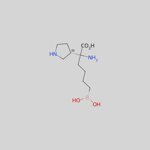 NC(CCCCB(O)O)(C(=O)O)[C@H]1CCNC1